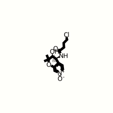 CC1(C)Oc2c[n+]([O-])ccc2[C@H](NC(=O)CCCCl)[C@H]1O